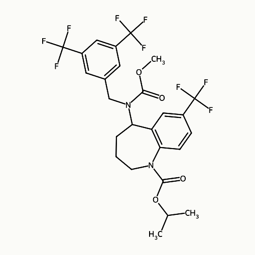 COC(=O)N(Cc1cc(C(F)(F)F)cc(C(F)(F)F)c1)C1CCCN(C(=O)OC(C)C)c2ccc(C(F)(F)F)cc21